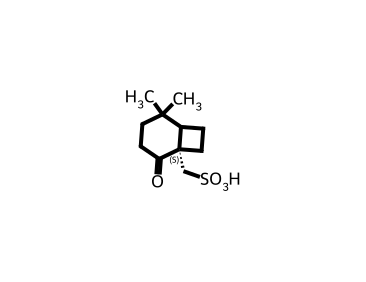 CC1(C)CCC(=O)[C@]2(CS(=O)(=O)O)CCC12